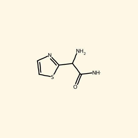 [NH]C(=O)C(N)c1nccs1